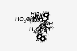 CCC(C)C(NC(=O)CC(O)C(Cc1ccccc1)NC(=O)C(NC(=O)C(C)(C)Oc1ccc2ccccc2c1)C(C)C)C(=O)NC(C(=O)O)C(C)C